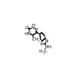 CNc1nc2ccc(C3=NNC(=O)NC3C)cc2s1